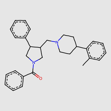 Cc1ccccc1C1CCN(CC2CN(C(=O)c3ccccc3)CC2c2ccccc2)CC1